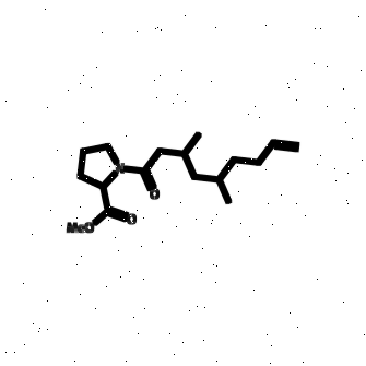 C=CCCC(C)CC(C)CC(=O)N1CCCC1C(=O)OC